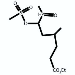 CCOC(=O)CCC(C)CC(OS(C)(=O)=O)[PH](C)=O